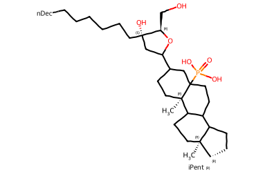 CCCCCCCCCCCCCCCC[C@]1(O)CC(C2CC[C@]3(C)C4CC[C@@]5(C)C(CC[C@@H]5[C@H](C)CCC)C4CCC3(P(=O)(O)O)C2)O[C@@H]1CO